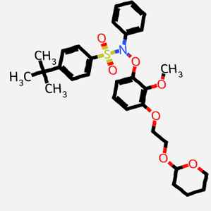 COc1c(OCCOC2CCCCO2)cccc1ON(c1ccccc1)S(=O)(=O)c1ccc(C(C)(C)C)cc1